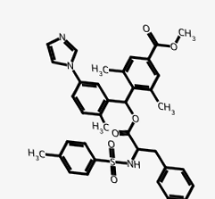 COC(=O)c1cc(C)c(C(OC(=O)C(Cc2ccc(O)cc2)NS(=O)(=O)c2ccc(C)cc2)c2cc(-n3ccnc3)ccc2C)c(C)c1